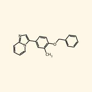 Cc1cc(-c2cnc3ccccn23)ccc1OCc1ccccc1